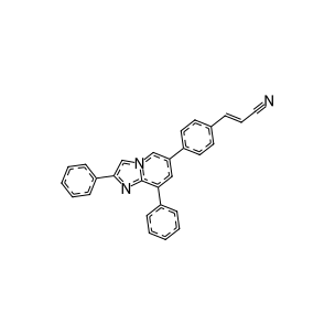 N#CC=Cc1ccc(-c2cc(-c3ccccc3)c3nc(-c4ccccc4)cn3c2)cc1